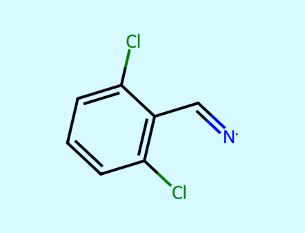 [N]=Cc1c(Cl)cccc1Cl